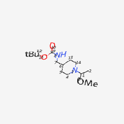 COC(C)N1CCC(CNC(=O)OC(C)(C)C)CC1